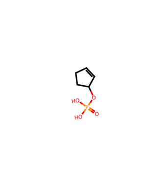 O=P(O)(O)OC1C=CCC1